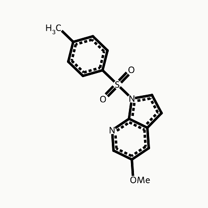 COc1cnc2c(ccn2S(=O)(=O)c2ccc(C)cc2)c1